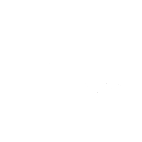 Cc1c(C(=O)C(=O)NC/C(N)=N/NN)c(C)n(C)c1C(=O)Nc1ccc(F)c(F)c1